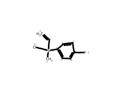 C=C[Si](C)(Cl)c1ccc(F)cc1